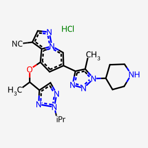 Cc1c(-c2cc(OC(C)c3cnn(C(C)C)n3)c3c(C#N)cnn3c2)nnn1C1CCNCC1.Cl